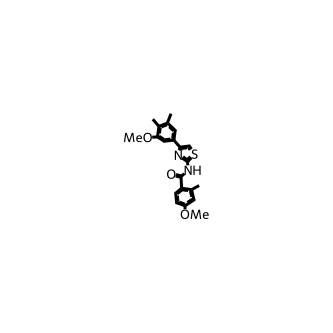 COc1ccc(C(=O)Nc2nc(-c3cc(C)c(C)c(OC)c3)cs2)c(C)c1